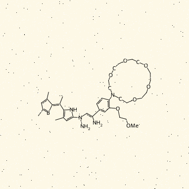 COCCOc1cc(/C(N)=C/N(N)c2cc(C)c(/C(C)=C3\B=C(C)C=C3C)[nH]2)ccc1N1CCOCCOCCOCCOCCOCC1